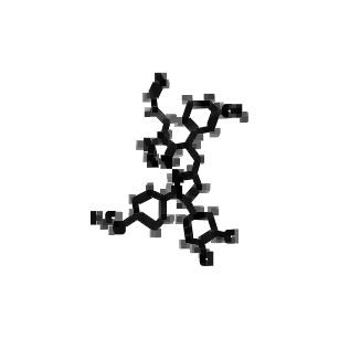 COc1ccc(-n2nc(CC(c3cccc(C)c3)c3nnnn3CCC#N)cc2-c2ccc(Cl)c(Cl)c2)cc1